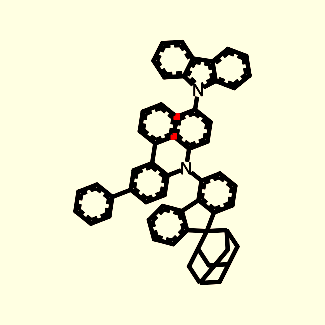 c1ccc(-c2ccc(N(c3ccc(-n4c5ccccc5c5ccccc54)cc3)c3cccc4c3-c3ccccc3C43C4CC5CC(C4)CC3C5)c(-c3ccccc3)c2)cc1